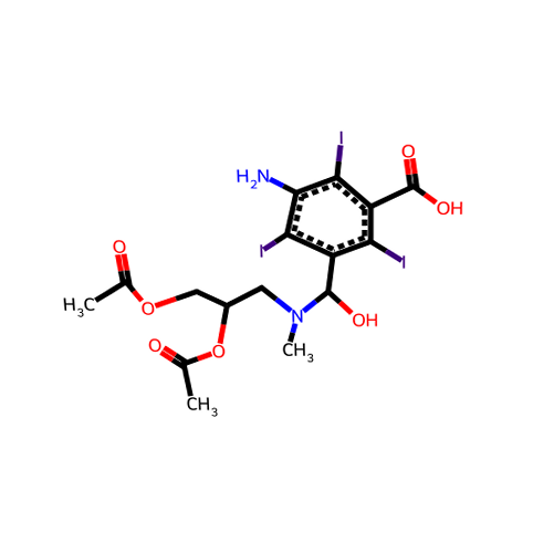 CC(=O)OCC(CN(C)C(O)c1c(I)c(N)c(I)c(C(=O)O)c1I)OC(C)=O